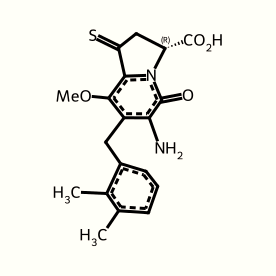 COc1c(Cc2cccc(C)c2C)c(N)c(=O)n2c1C(=S)C[C@@H]2C(=O)O